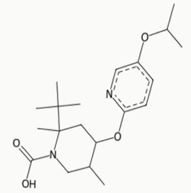 CC(C)Oc1ccc(OC2CC(C)(C(C)(C)C)N(C(=O)O)CC2C)nc1